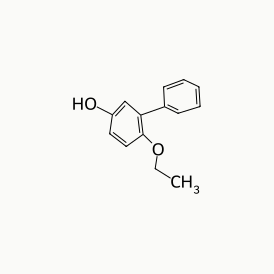 CCOc1ccc(O)cc1-c1ccccc1